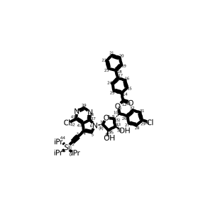 CC(C)[Si](C#Cc1cn([C@@H]2O[C@H](C(OC(=O)c3ccc(-c4ccccc4)cc3)c3ccc(Cl)cc3)[C@@H](O)[C@H]2O)c2ncnc(Cl)c12)(C(C)C)C(C)C